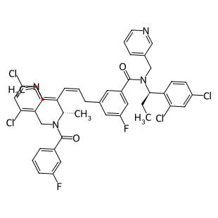 C=N/C=C(\C=C/Cc1cc(F)cc(C(=O)N(Cc2cccnc2)[C@H](CC)c2ccc(Cl)cc2Cl)c1)[C@H](C)N(Cc1ccc(Cl)cc1Cl)C(=O)c1cccc(F)c1